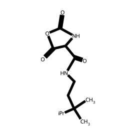 CC(C)C(C)(C)CCNC(=O)C1NC(=O)OC1=O